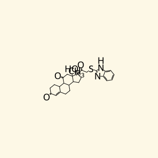 CC12CC(=O)C3C4CCC(=O)C=C4CCC3C1CC[C@]2(O)C(=O)CSc1nc2ccccc2[nH]1